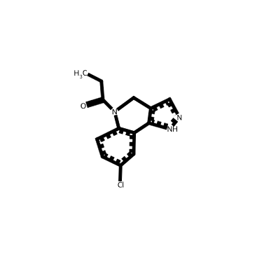 CCC(=O)N1Cc2cn[nH]c2-c2cc(Cl)ccc21